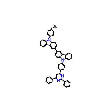 CCC(C)c1ccc(-n2c3ccccc3c3cc(-c4ccc5c(c4)c4ccccc4n5-c4ccc(-c5cc(-c6ccccc6)nc(-c6ccccc6)n5)cc4)ccc32)cc1